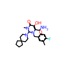 Cc1cc(CN2C(C(N)=O)=C(O)C(=O)N(C)C2N2CCC3(CCCC3)CC2)ccc1F